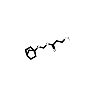 CCCC(=O)OCOC12CCC(CC1)C2